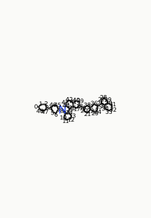 c1ccc(-c2ccc(-n3c4ccccc4c4c5cc(-c6ccc7ccc(-c8cccc9ccccc89)cc7c6)ccc5ccc43)cc2)cc1